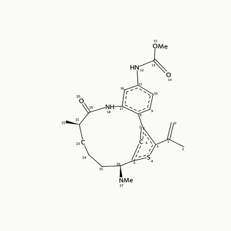 C=C(C)c1sc2cc1-c1ccc(NC(=O)OC)cc1NC(=O)[C@H](C)CCC[C@@H]2NC